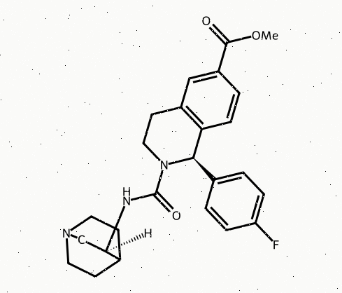 COC(=O)c1ccc2c(c1)CCN(C(=O)N[C@@H]1CN3CCC1CC3)[C@@H]2c1ccc(F)cc1